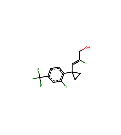 OCC(F)=CC1(c2ccc(C(F)(F)F)cc2F)CC1